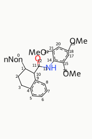 CCCCCCCCCC1CCc2ccccc2C1C(=O)Nc1c(OC)cc(OC)cc1OC